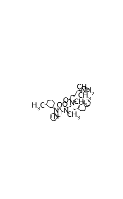 CC1CCCC(NC(=O)[C@@H](Cc2ccccc2)N(C)C(=O)[C@@H](Cc2ccc3ccccc3c2)N(C)C(=O)/C=C/CC(C)(C)N)C1